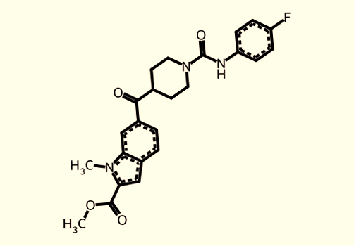 COC(=O)c1cc2ccc(C(=O)C3CCN(C(=O)Nc4ccc(F)cc4)CC3)cc2n1C